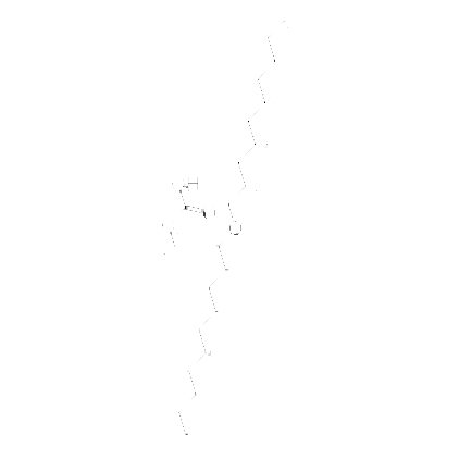 CCCCCCCCCCOCCCCCCCCCC.COC(=O)O